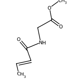 CC=CC(=O)NCC(=O)OC